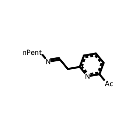 CCCCCN=CCc1cccc(C(C)=O)n1